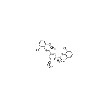 CC(=Nc1c(Cl)cccc1Cl)c1cccc(C(C)=Nc2c(Cl)cccc2Cl)n1.[Cl-].[Cl-].[Fe+2]